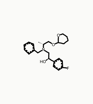 C[C@H](COC1CCCCO1)N(Cc1ccccc1)C[C@H](O)c1ccc(F)cc1